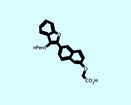 CCCCCc1c(-c2ccc3cc(OCC(=O)O)ccc3c2)oc2ccccc12